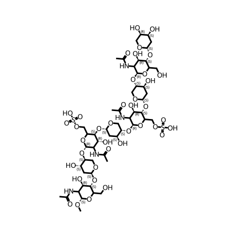 CO[C@H]1OC(CO)[C@@H](O[C@H]2C[C@H](O)[C@@H](O[C@@H]3OC(COS(=O)(=O)O)[C@@H](O[C@H]4C[C@H](O)[C@@H](O[C@@H]5OC(COS(=O)(=O)O)[C@@H](O[C@H]6C[C@H](O)[C@@H](O[C@@H]7OC(CO)[C@@H](O[C@H]8C[C@H](O)[C@H](O)CO8)[C@H](O)C7NC(C)=O)CO6)[C@H](O)C5NC(C)=O)CO4)[C@H](O)C3NC(C)=O)CO2)[C@H](O)C1NC(C)=O